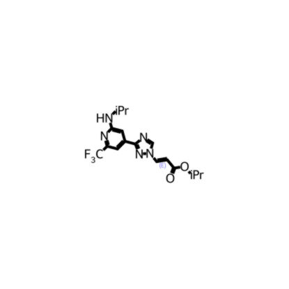 CC(C)Nc1cc(-c2ncn(/C=C/C(=O)OC(C)C)n2)cc(C(F)(F)F)n1